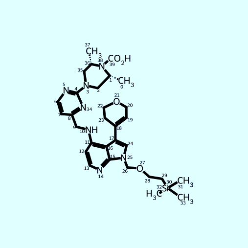 C[C@@H]1CN(c2nccc(CNc3ccnc4c3c(C3=CCOCC3)cn4COCC[Si](C)(C)C)n2)C[C@H](C)N1C(=O)O